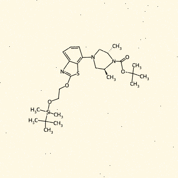 C[C@H]1CN(c2cccc3nc(OCCO[Si](C)(C)C(C)(C)C)sc23)C[C@H](C)N1C(=O)OC(C)(C)C